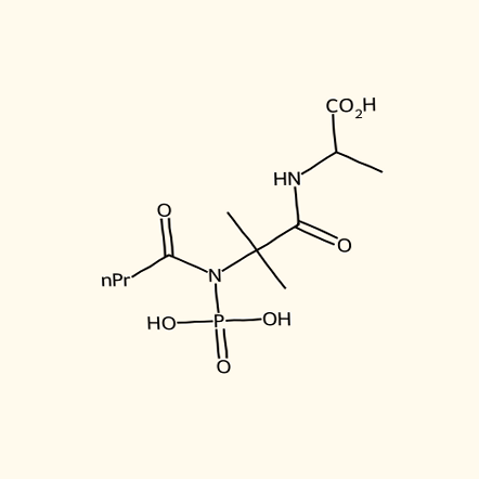 CCCC(=O)N(C(C)(C)C(=O)NC(C)C(=O)O)P(=O)(O)O